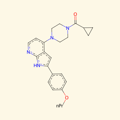 CCCOc1ccc(-c2cc3c(N4CCN(C(=O)C5CC5)CC4)ccnc3[nH]2)cc1